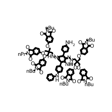 CCCCN1C(=O)c2ccc(OCC(CN/N=c3/c(-c4ccc(N)cc4)c4n(NCC(COc5ccc6c(c5)C(=O)N(CCC)C6=O)(COc5ccc6c(c5)C(=O)N(CCCC)C6=O)COc5ccc6c(c5)C(=O)N(CCCC)C6=O)c-4c(-c4ccc(Nc5ccccc5)cc4)c3=N)(COc3ccc4c(c3)C(=O)N(CCCC)C4=O)COc3ccc4c(c3)C(=O)N(CCCC)C4=O)cc2C1=O